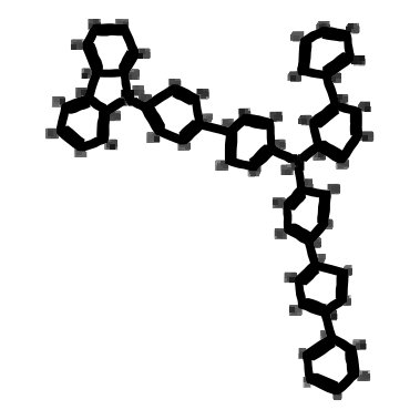 c1ccc(-c2ccc(-c3ccc(N(c4ccc(-c5ccc(-n6c7ccccc7c7ccccc76)cc5)cc4)c4cccc(-c5ccccc5)c4)cc3)cc2)cc1